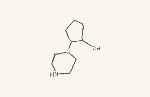 OC1CCCC1N1CCNCC1